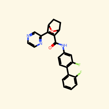 O=C(Nc1ccc(-c2ccccc2F)c(F)c1)C1=C(c2cnccn2)C2CCC1O2